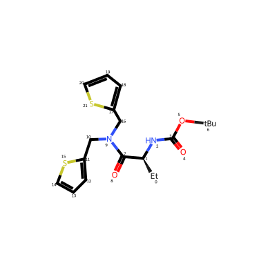 [CH2]C[C@H](NC(=O)OC(C)(C)C)C(=O)N(Cc1cccs1)Cc1cccs1